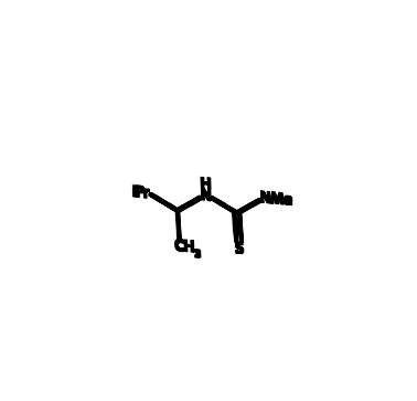 CNC(=S)NC(C)C(C)C